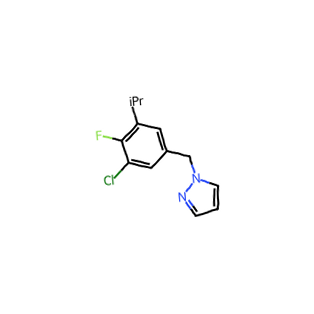 CC(C)c1cc(Cn2cccn2)cc(Cl)c1F